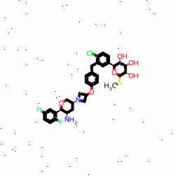 CS[C@H]1O[C@@H](c2ccc(Cl)c(Cc3ccc(OC4CN([C@H]5CO[C@H](c6cc(F)ccc6F)[C@@H](N)C5)C4)cc3)c2)[C@H](O)[C@@H](O)[C@@H]1O